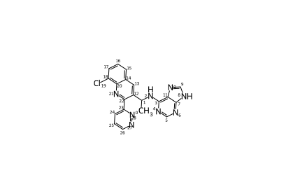 CC(Nc1ncnc2[nH]cnc12)c1cc2cccc(Cl)c2nc1-c1cccnn1